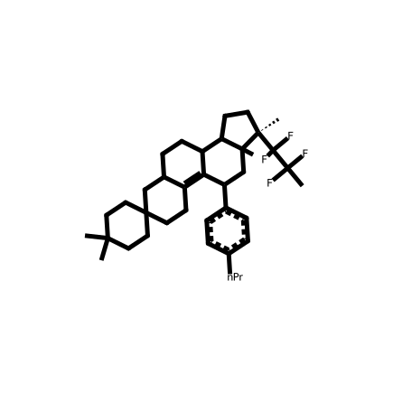 CCCc1ccc(C2CC3(C)C(CC[C@@]3(C)C(F)(F)C(C)(F)F)C3CCC4CC5(CCC4=C23)CCC(C)(C)CC5)cc1